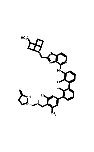 CCc1nc(-c2cccc(-c3cccc(Nc4nccc5sc(CN6C7CCC78C(C(=O)O)CC68)nc45)c3Cl)c2Cl)cc(C)c1CNC[C@@H]1CCC(=O)N1